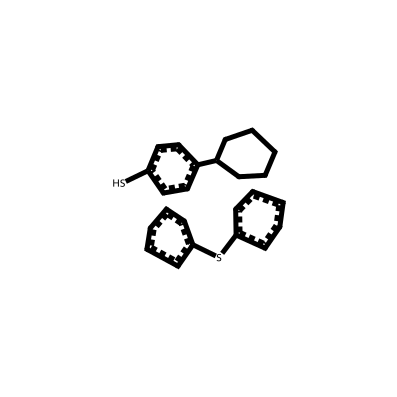 Sc1ccc(C2CCCCC2)cc1.c1ccc(Sc2ccccc2)cc1